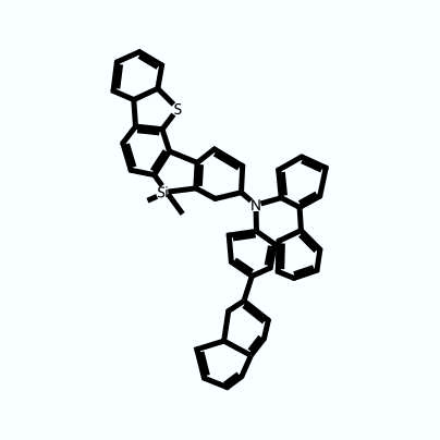 C[Si]1(C)C2=C(C=CC(N(c3ccc(C4=CC=C5C=CC=CC5C4)cc3)c3ccccc3-c3ccccc3)C2)c2c1ccc1c2SC2C=CC=CC12